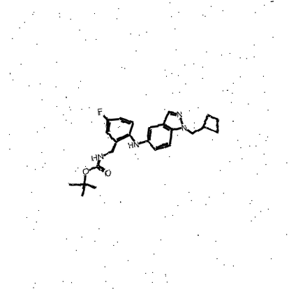 CC(C)(C)OC(=O)NCc1cc(F)ccc1Nc1ccc2c(cnn2CC2CCC2)c1